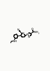 CCNc1cccc(-c2ccc(-n3cc(C(N)=O)cn3)nc2C#N)c1